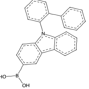 OB(O)c1ccc2c(c1)c1ccccc1n2-c1ccccc1-c1ccccc1